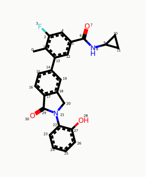 Cc1c(F)cc(C(=O)NC2CC2)cc1-c1ccc2c(c1)CN(c1ccccc1O)C2=O